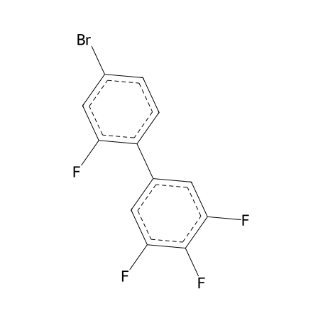 Fc1cc(Br)ccc1-c1cc(F)c(F)c(F)c1